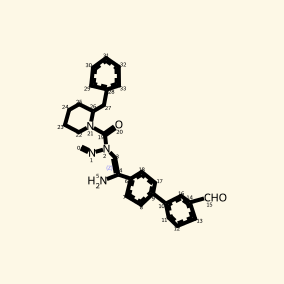 C=NN(/C=C(\N)c1ccc(-c2cccc(C=O)c2)cc1)C(=O)N1CCCCC1Cc1ccccc1